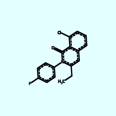 CCc1cc2cccc(Cl)c2c(=O)n1-c1ccc(F)cc1